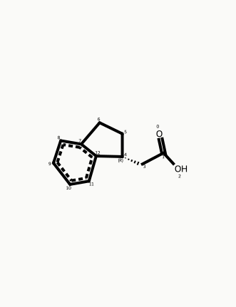 O=C(O)C[C@H]1CCc2ccccc21